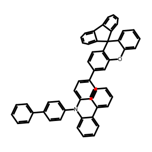 c1ccc(-c2ccc(N(c3ccc(-c4ccc5c(c4)Oc4ccccc4C54c5ccccc5-c5ccccc54)cc3)c3ccccc3-c3ccccc3)cc2)cc1